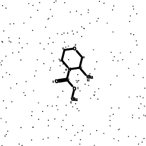 CC(C)(C)OC(=O)N1CCOCC1C(C)(C)C